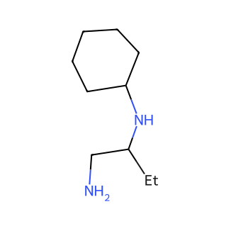 CCC(CN)NC1CCCCC1